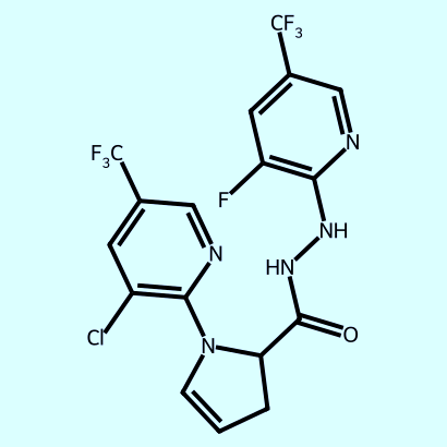 O=C(NNc1ncc(C(F)(F)F)cc1F)C1CC=CN1c1ncc(C(F)(F)F)cc1Cl